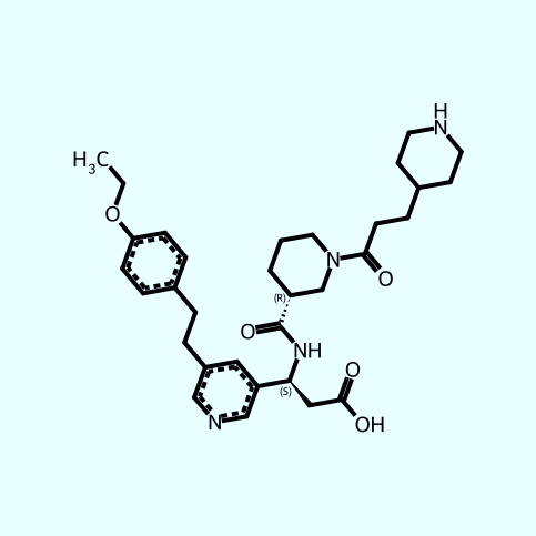 CCOc1ccc(CCc2cncc([C@H](CC(=O)O)NC(=O)[C@@H]3CCCN(C(=O)CCC4CCNCC4)C3)c2)cc1